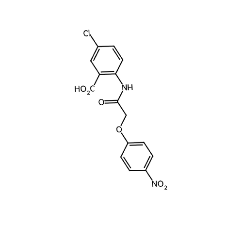 O=C(COc1ccc([N+](=O)[O-])cc1)Nc1ccc(Cl)cc1C(=O)O